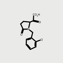 O=C(O)C(=O)C1CCC(=O)N1Cc1ccccc1Cl